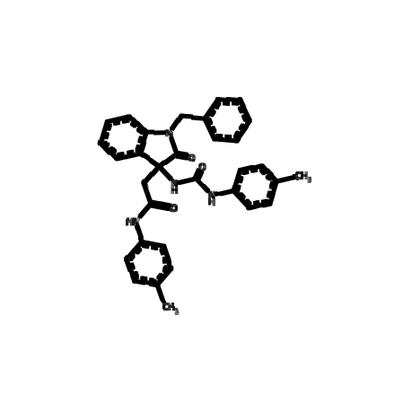 Cc1ccc(NC(=O)CC2(NC(=O)Nc3ccc(C)cc3)C(=O)N(Cc3ccccc3)c3ccccc32)cc1